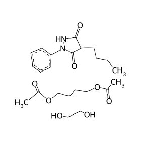 CC(=O)OCCCCOC(C)=O.CCCCC1C(=O)NN(c2ccccc2)C1=O.OCCO